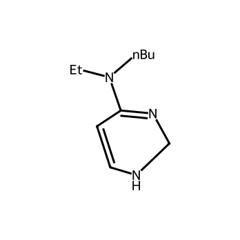 CCCCN(CC)C1=NCNC=C1